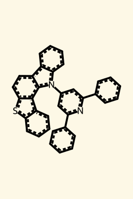 c1ccc(-c2cc(-n3c4ccccc4c4ccc5sc6ccccc6c5c43)cc(-c3ccccc3)n2)cc1